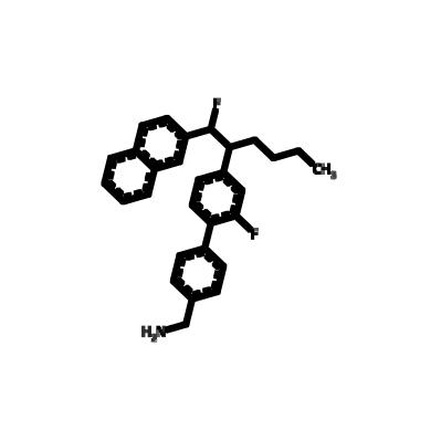 CCCCC(c1ccc(-c2ccc(CN)cc2)c(F)c1)C(F)c1ccc2ccccc2c1